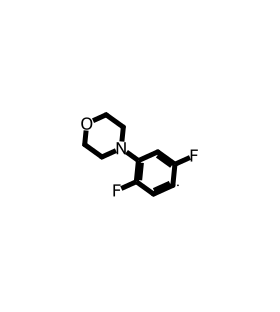 Fc1[c]cc(F)c(N2CCOCC2)c1